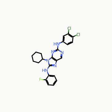 Fc1ccccc1Nc1nc2cnc(Nc3ccc(Cl)c(Cl)c3)nc2n1C1CCCCC1